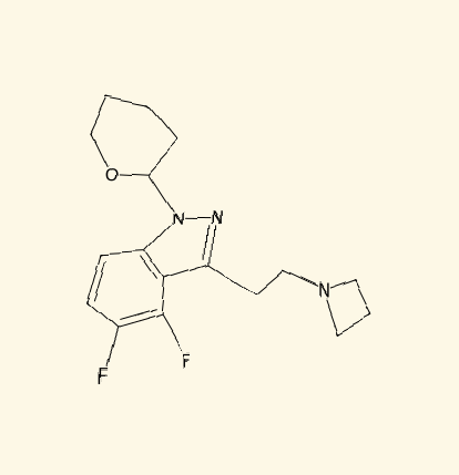 Fc1ccc2c(c(CCN3CCC3)nn2C2CCCCO2)c1F